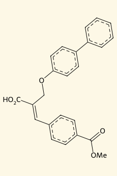 COC(=O)c1ccc(C=C(COc2ccc(-c3ccccc3)cc2)C(=O)O)cc1